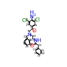 Nc1c(Cl)cc(C(=O)CN(CCNC(=O)Cc2ccccc2)Cc2ccccc2)cc1Cl